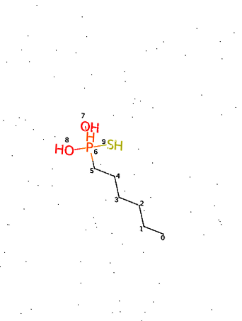 CCCCCC[PH](O)(O)S